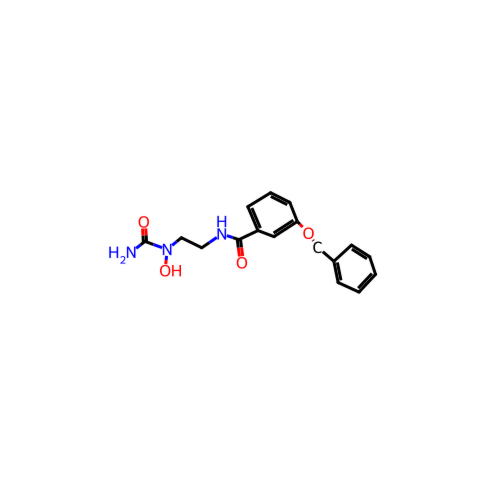 NC(=O)N(O)CCNC(=O)c1cccc(OCc2ccccc2)c1